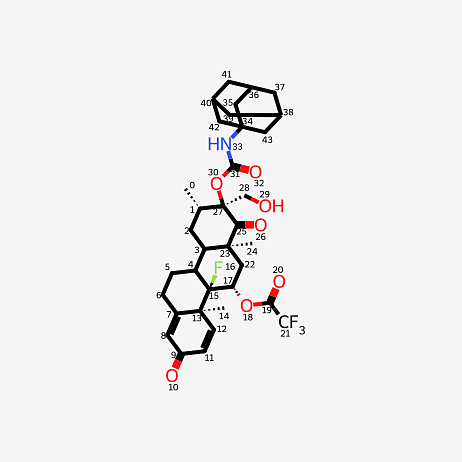 C[C@H]1CC2C3CCC4=CC(=O)C=C[C@]4(C)[C@@]3(F)[C@@H](OC(=O)C(F)(F)F)C[C@]2(C)C(=O)[C@]1(CO)OC(=O)NC12CC3CC(CC(C3)C1)C2